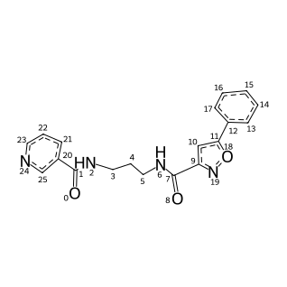 O=C(NCCCNC(=O)c1cc(-c2ccccc2)on1)c1cccnc1